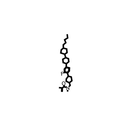 C=C(C)C(=O)N(C)CC1CCC(c2ccc(C3CCC(C4CCC(CCCCC)CC4)CC3)cc2F)CC1